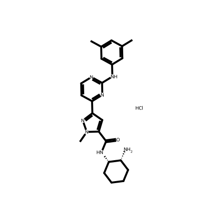 Cc1cc(C)cc(Nc2nccc(-c3cc(C(=O)N[C@H]4CCCC[C@H]4N)n(C)n3)n2)c1.Cl